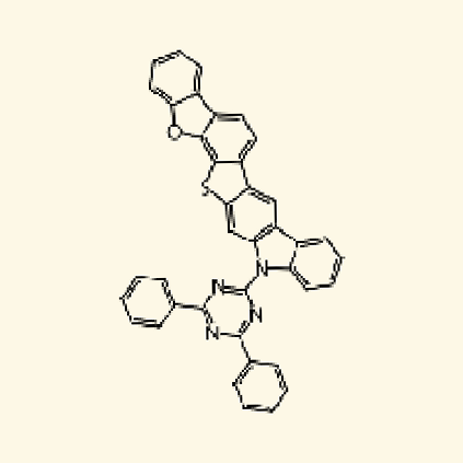 c1ccc(-c2nc(-c3ccccc3)nc(-n3c4ccccc4c4cc5c(cc43)sc3c5ccc4c5ccccc5oc43)n2)cc1